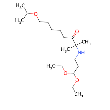 CCOC(CCNC(C)(C)C(=O)CCCCCOC(C)C)OCC